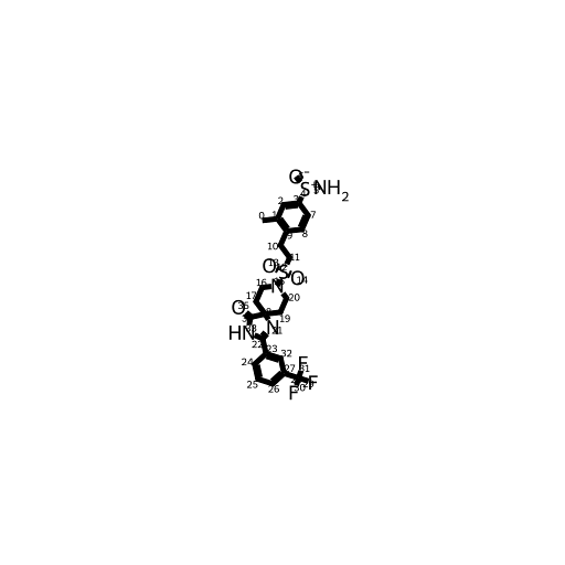 Cc1cc([S+](N)[O-])ccc1CCS(=O)(=O)N1CCC2(CC1)N=C(c1cccc(C(F)(F)F)c1)NC2=O